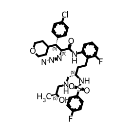 C[C@H](O)CNC[C@H](CCc1c(F)cccc1NC(=O)[C@@H](N=[N+]=[N-])[C@@H](c1ccc(Cl)cc1)C1CCOCC1)NS(=O)(=O)c1ccc(F)cc1